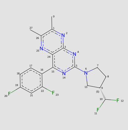 Cc1nc2nc(N3CC[C@H](C(F)F)C3)nc(-c3ccc(F)cc3F)c2nc1C